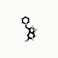 Brc1cc2c(CN3CCCCC3)n[nH]c2cn1